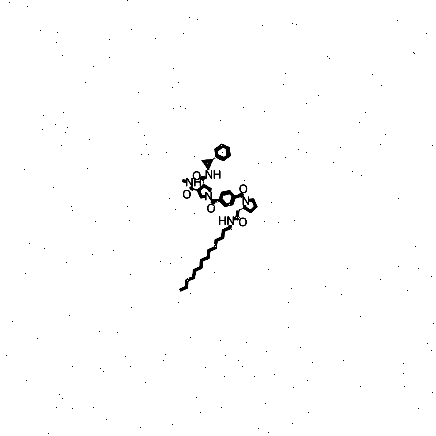 CCCCCCCCCCCCCCNC(=O)C[C@H]1CCCN1C(=O)c1ccc(C(=O)N2C[C@@H](C(=O)NC)[C@H](C(=O)N[C@H]3C[C@@H]3c3ccccc3)C2)cc1